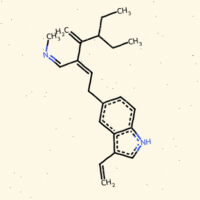 C=Cc1c[nH]c2ccc(C/C=C(\C=N/C)C(=C)C(CC)CC)cc12